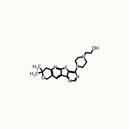 CC1(C)Cc2nc3sc4c(N5CCN(CCO)CC5)ncnc4c3cc2CO1